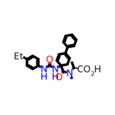 CCc1ccc(NC(=O)NC2(C(=O)N(C)[C@@H](C)C(=O)O)C=CC(c3ccccc3)=CC2)cc1